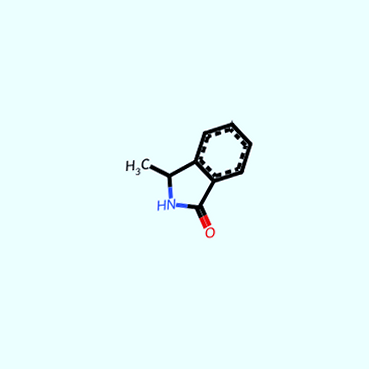 CC1NC(=O)c2cc[c]cc21